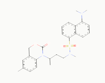 CCN(CCC(C)N1C(=O)OCc2cc(C)ccc21)S(=O)(=O)c1cccc2c(N(C)C)cccc12